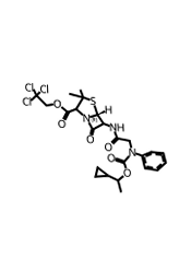 CC(OC(=O)N(CC(=O)NC1C(=O)N2C(C(=O)OCC(Cl)(Cl)Cl)C(C)(C)S[C@H]12)c1ccccc1)C1CC1